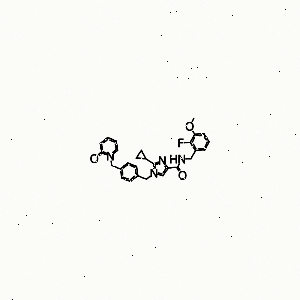 COc1cccc(CNC(=O)c2cn(Cc3ccc(Cn4ccccc4=O)cc3)c(C3CC3)n2)c1F